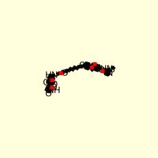 CCC(CC)(c1ccc(OCCCCCCCCOCCCCNc2ccc3c(c2)C(=O)N(C2CCC(=O)NC2=O)C3=O)cc1)c1ccc(OCc2ccnc(NSC)c2)cc1